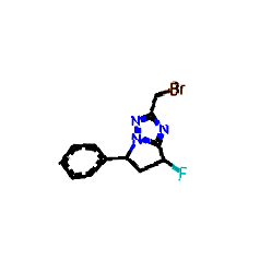 FC1CC(c2ccccc2)n2nc(CBr)nc21